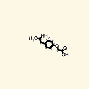 C[C@@H](N)Cc1ccc(OCC(=O)O)cc1